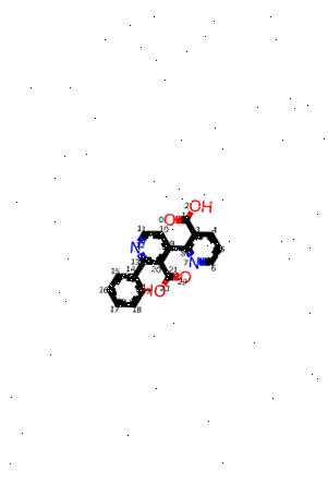 O=C(O)c1cccnc1-c1ccnc(-c2ccccc2)c1C(=O)O